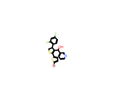 OC(C1=C(c2ccc(Br)s2)SCC1c1ccc(F)cc1F)c1cccnc1